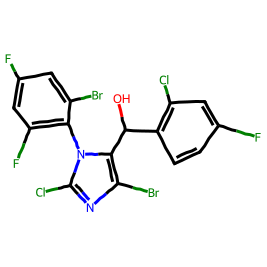 OC(c1ccc(F)cc1Cl)c1c(Br)nc(Cl)n1-c1c(F)cc(F)cc1Br